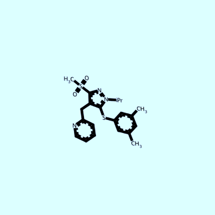 Cc1cc(C)cc(Sc2c(Cc3ccccn3)c(S(C)(=O)=O)nn2C(C)C)c1